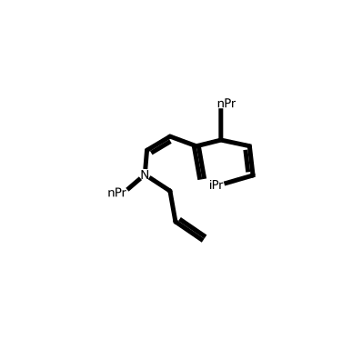 C=CCN(/C=C\C(=C)C(/C=C\C(C)C)CCC)CCC